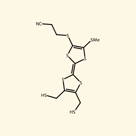 CSC1=C(SCCC#N)SC(=C2SC(CS)=C(CS)S2)S1